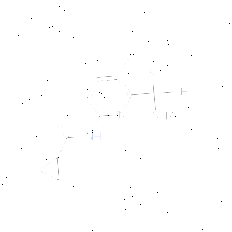 CC(=O)NC(C)(C)c1nc(NC(=O)C2CC2)ccc1Br